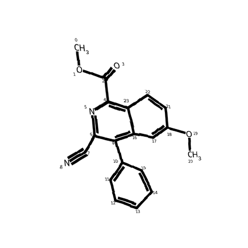 COC(=O)c1nc(C#N)c(-c2ccccc2)c2cc(OC)ccc12